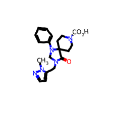 Cn1nccc1CN1CN(c2ccccc2)C2(CCN(C(=O)O)CC2)C1=O